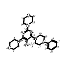 Nc1c(N2CCOCC2)nc(N2CCOCC2)nc1N1CCN(c2ccccc2)CC1